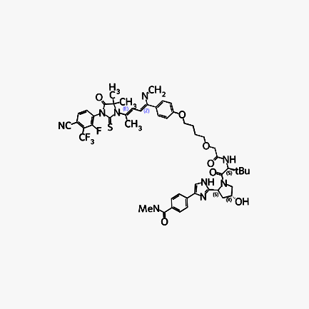 C=N/C(=C\C=C(/C)N1C(=S)N(c2ccc(C#N)c(C(F)(F)F)c2F)C(=O)C1(C)C)c1ccc(OCCCCOCC(=O)N[C@H](C(=O)N2C[C@H](O)C[C@H]2c2nc(-c3ccc(C(=O)NC)cc3)c[nH]2)C(C)(C)C)cc1